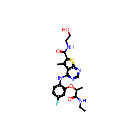 CCNC(=O)C(C)Oc1cc(F)ccc1Nc1ncnc2sc(C(=O)NCCO)c(C)c12